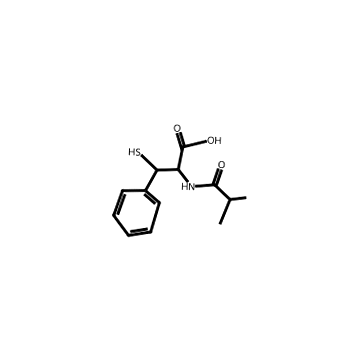 CC(C)C(=O)NC(C(=O)O)C(S)c1ccccc1